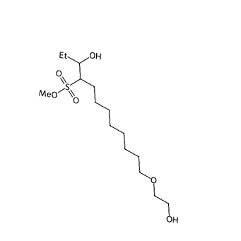 CCC(O)C(CCCCCCCCOCCO)S(=O)(=O)OC